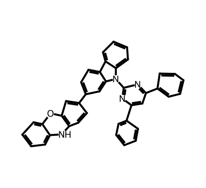 c1ccc(-c2cc(-c3ccccc3)nc(-n3c4ccccc4c4ccc(-c5ccc6c(c5)Oc5ccccc5N6)cc43)n2)cc1